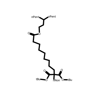 CCCCCCCCCC(CCCCCCCCC(=O)OCCC(CCCCC)CCCCC)(C(=O)OC(C)(C)C)C(=O)OC(C)(C)C